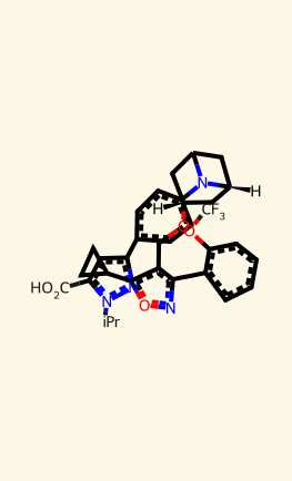 CC(C)n1nc(-c2ccc(N3C4C[C@@H](OCc5c(-c6ccccc6OC(F)(F)F)noc5C5CC5)C[C@H]3C4)cc2)cc1C(=O)O